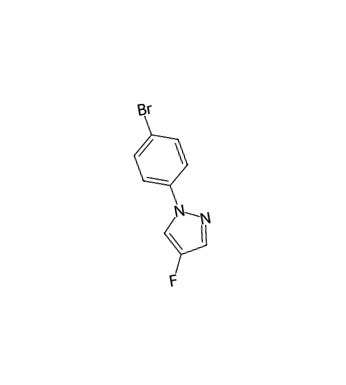 Fc1cnn(-c2ccc(Br)cc2)c1